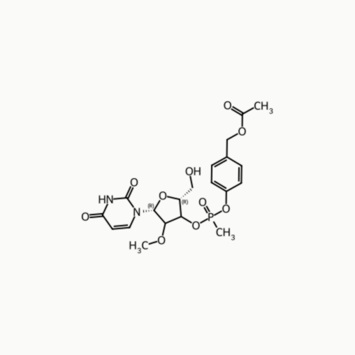 COC1C(OP(C)(=O)Oc2ccc(COC(C)=O)cc2)[C@@H](CO)O[C@H]1n1ccc(=O)[nH]c1=O